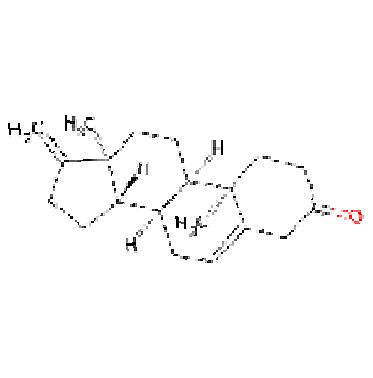 C=C1CC[C@H]2[C@@H]3CC=C4CC(=O)CC[C@]4(C)[C@@H]3CC[C@]12C